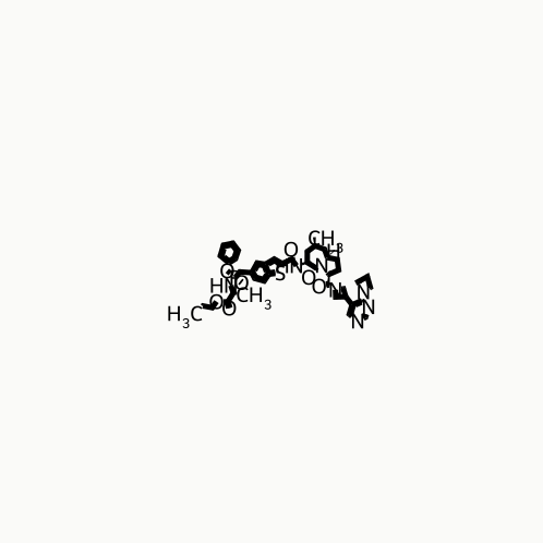 CCCOC(=O)[C@H](C)NP(=O)(Cc1ccc2sc(C(=O)N[C@H]3C[C@@H](C)C[C@H]4CC[C@@H](C(=O)N5CC(c6cncnc6N6CCC6)C5)N4C3=O)cc2c1)Oc1ccccc1